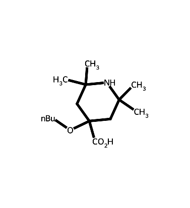 CCCCOC1(C(=O)O)CC(C)(C)NC(C)(C)C1